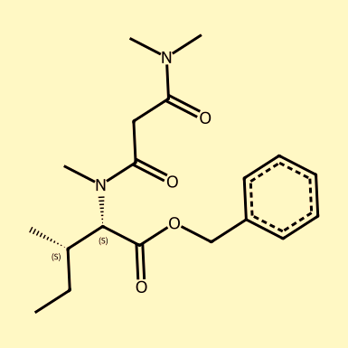 CC[C@H](C)[C@@H](C(=O)OCc1ccccc1)N(C)C(=O)CC(=O)N(C)C